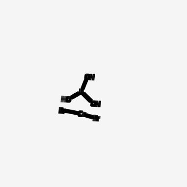 OB(O)O.[Br][Ca][Br]